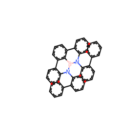 c1ccc(-c2ccccc2N2B3c4c(cccc4-c4ccccc4N3c3ccccc3-c3ccccc3)-c3ccccc32)cc1